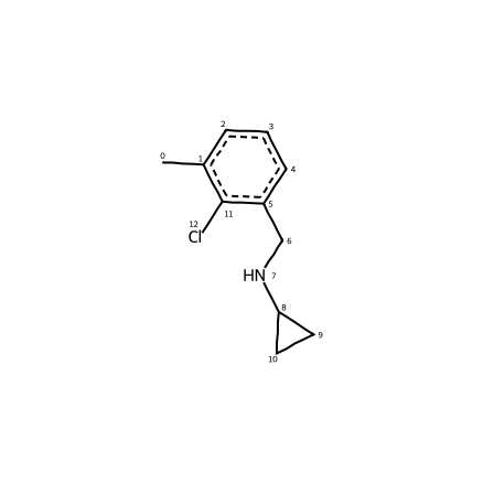 Cc1cccc(CNC2CC2)c1Cl